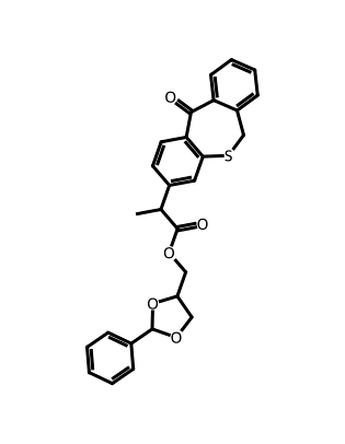 CC(C(=O)OCC1COC(c2ccccc2)O1)c1ccc2c(c1)SCc1ccccc1C2=O